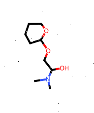 CN(C)C(O)COC1CCCCO1